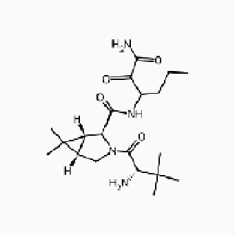 CCCC(NC(=O)[C@@H]1[C@@H]2[C@H](CN1C(=O)[C@@H](N)C(C)(C)C)C2(C)C)C(=O)C(N)=O